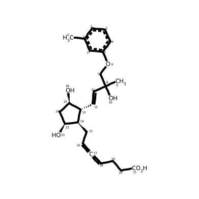 Cc1cccc(OCC(C)(O)C=C[C@@H]2[C@@H](CC=C=CCCC(=O)O)[C@@H](O)C[C@H]2O)c1